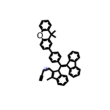 C#C/C=C\C1=C(C)c2ccccc2C1C(=C1c2ccccc2-c2ccccc21)c1ccc(-c2ccc3c(c2)C(C)(C)c2ccccc2O3)cc1